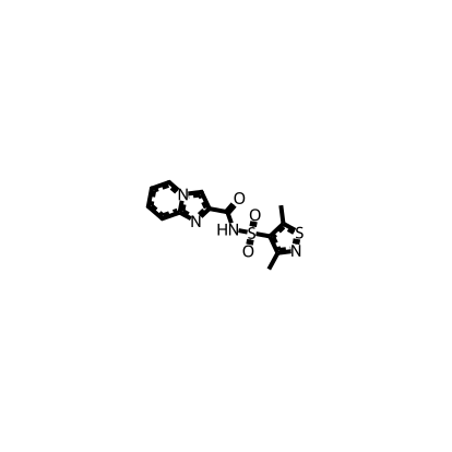 Cc1nsc(C)c1S(=O)(=O)NC(=O)c1cn2ccccc2n1